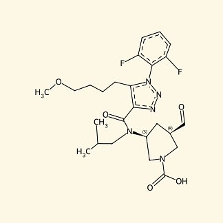 COCCCCc1c(C(=O)N(CC(C)C)[C@H]2C[C@@H](C=O)CN(C(=O)O)C2)nnn1-c1c(F)cccc1F